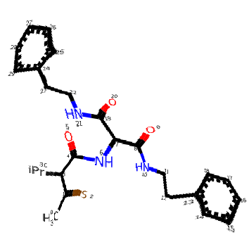 CC(=S)C(C(=O)NC(C(=O)NCCc1ccccc1)C(=O)NCCc1ccccc1)C(C)C